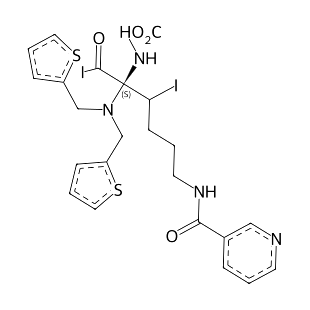 O=C(O)N[C@@](C(=O)I)(C(I)CCCNC(=O)c1cccnc1)N(Cc1cccs1)Cc1cccs1